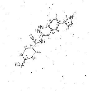 Cn1cc(-c2ccc3nnc(NC(=O)[C@H]4CC[C@H](C(=O)O)CC4)cc3c2)cn1